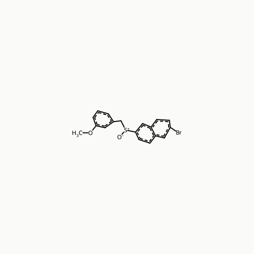 COc1cccc(C[S+]([O-])c2ccc3cc(Br)ccc3c2)c1